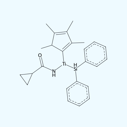 CC1=C(C)C(C)[C]([Ti]([NH]C(=O)C2CC2)[SiH](c2ccccc2)c2ccccc2)=C1C